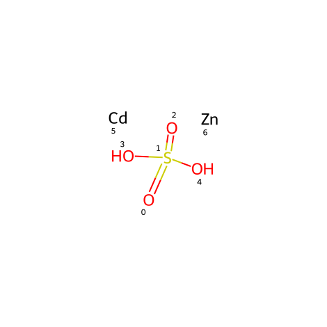 O=S(=O)(O)O.[Cd].[Zn]